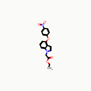 CCOC(=O)Cn1ccc2c(Oc3ccc([N+](=O)[O-])cc3)cccc21